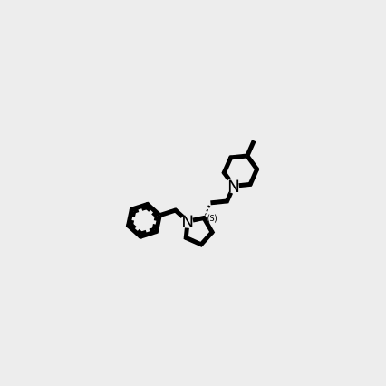 CC1CCN(CC[C@@H]2CCCN2Cc2ccccc2)CC1